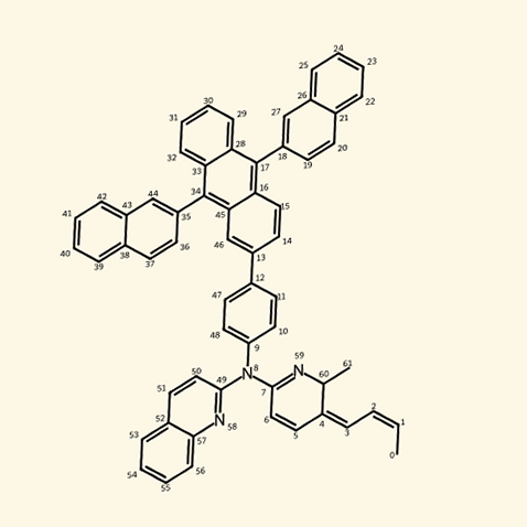 C/C=C\C=C1\C=CC(N(c2ccc(-c3ccc4c(-c5ccc6ccccc6c5)c5ccccc5c(-c5ccc6ccccc6c5)c4c3)cc2)c2ccc3ccccc3n2)=NC1C